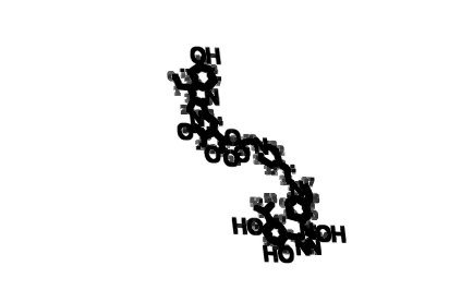 CCc1c2c(nc3ccc(O)cc13)-c1cc3c(c(=O)n1C2)COC(=O)[C@H]3OC(=O)CN1CCC(CCn2ccc3cc(-n4c(O)nnc4-c4cc(C(C)C)c(O)cc4O)ccc32)CC1